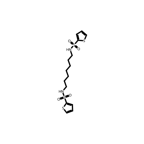 O=S(=O)(NCCCCCCCNS(=O)(=O)c1cccs1)c1cccs1